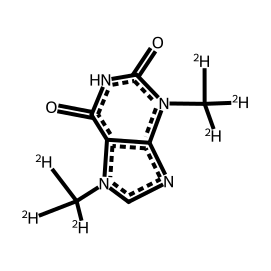 [2H]C([2H])([2H])n1cnc2c1c(=O)[nH]c(=O)n2C([2H])([2H])[2H]